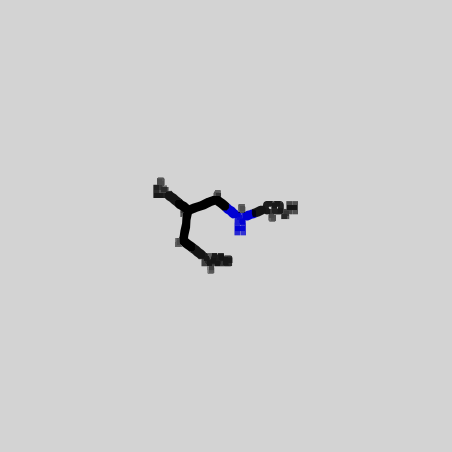 CCC(CNC)CNC(=O)O